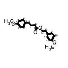 COc1ccc(CCCC(=O)OCCc2ccc(OC)cc2)cc1